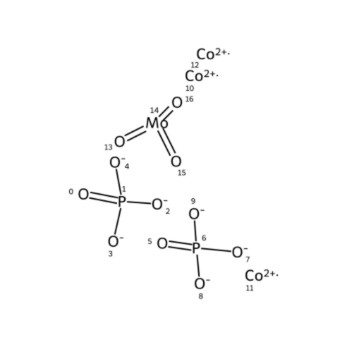 O=P([O-])([O-])[O-].O=P([O-])([O-])[O-].[Co+2].[Co+2].[Co+2].[O]=[Mo](=[O])=[O]